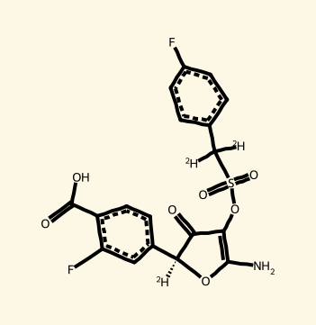 [2H]C([2H])(c1ccc(F)cc1)S(=O)(=O)OC1=C(N)O[C@@]([2H])(c2ccc(C(=O)O)c(F)c2)C1=O